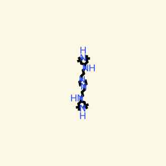 CC1(C)CC(NCCCN2CCN(CCCNC3CC(C)(C)NC(C)(C)C3)CC2)CC(C)(C)N1